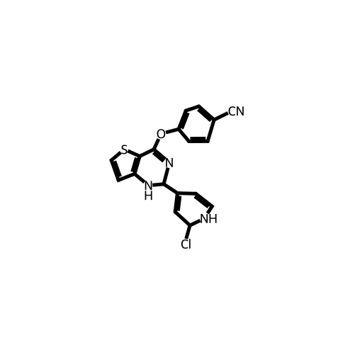 N#Cc1ccc(OC2=NC(C3=CC(Cl)NC=C3)Nc3ccsc32)cc1